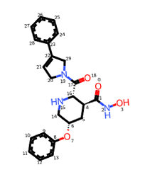 O=C(NO)[C@H]1C[C@H](Oc2ccccc2)CN[C@@H]1C(=O)N1CC=C(c2ccccc2)C1